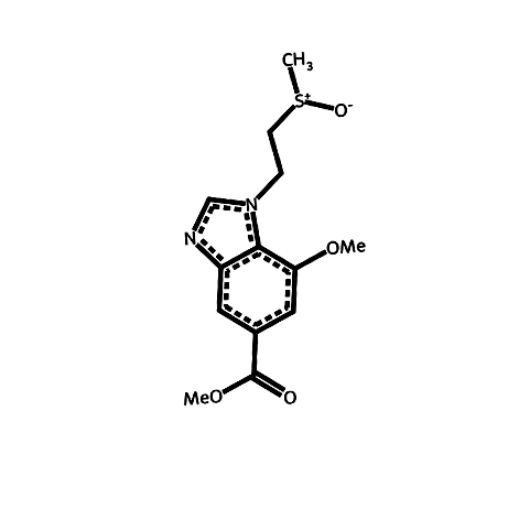 COC(=O)c1cc(OC)c2c(c1)ncn2CC[S+](C)[O-]